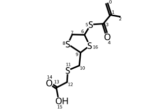 C=C(C)C(=O)SC1CSC(CSCC(=O)O)S1